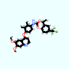 COc1cc2nccc(Oc3ccc(NC(=O)OC(C)c4cccc(C(F)(F)F)c4)c(C)c3C)c2cc1OC